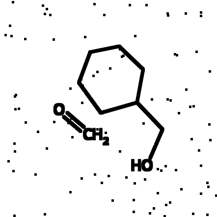 C=O.OCC1CCCCC1